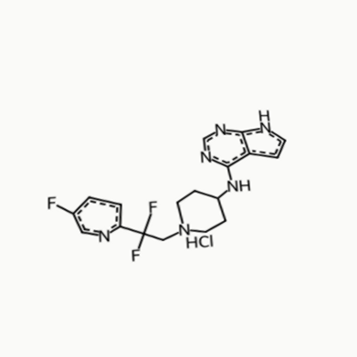 Cl.Fc1ccc(C(F)(F)CN2CCC(Nc3ncnc4[nH]ccc34)CC2)nc1